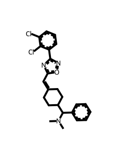 CN(C)C(c1ccccc1)C1CCC(=Cc2nc(-c3cccc(Cl)c3Cl)no2)CC1